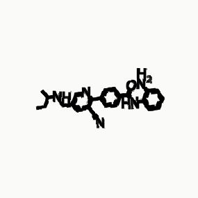 CCC(C)NCc1cnc(-c2ccc(C(=O)Nc3ccccc3N)cc2)c(C#N)c1